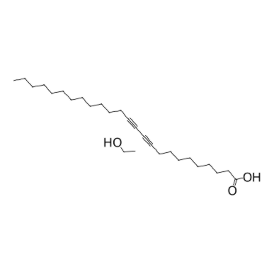 CCCCCCCCCCCCC#CC#CCCCCCCCCC(=O)O.CCO